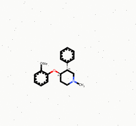 COc1ccccc1O[C@@H]1CCN(C)C[C@H]1c1ccccc1